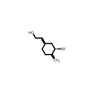 C=C1CC/C(=C\CO)C[C@H]1N=O